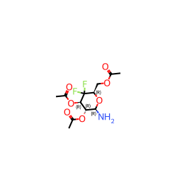 CC(=O)OC[C@H]1O[C@@H](N)[C@H](OC(C)=O)[C@@H](OC(C)=O)C1(F)F